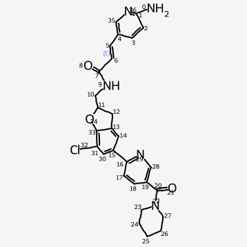 Nc1ccc(/C=C/C(=O)NCC2Cc3cc(-c4ccc(C(=O)N5CCCCC5)cn4)cc(Cl)c3O2)cn1